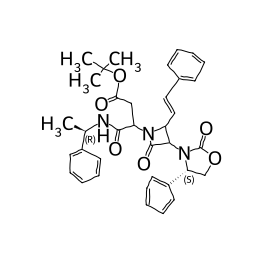 C[C@@H](NC(=O)C(CC(=O)OC(C)(C)C)N1C(=O)C(N2C(=O)OC[C@@H]2c2ccccc2)C1C=Cc1ccccc1)c1ccccc1